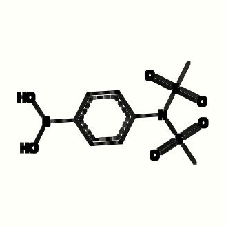 CS(=O)(=O)N(c1ccc(B(O)O)cc1)S(C)(=O)=O